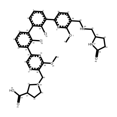 COc1nc(-c2cccc(-c3cccc(-c4cnc(CN5CCC(C(=O)O)C5)c(OC)n4)c3Cl)c2Cl)ccc1CNCC1CCC(=O)N1